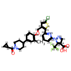 Cc1cc(C2CCN(C(=O)C3CC3)CC2)ccc1OCc1cc(Cl)sc1-c1cccc(-n2ncc(C(=O)O)c2C(F)(F)F)n1